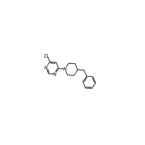 Clc1cc(N2CCC(Cc3ccccc3)CC2)ncn1